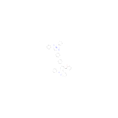 c1ccc(-c2cc(-c3ccc(-c4ccc(-c5cc6c(-c7ccccc7)nc7ccccc7c6c6c5oc5ccccc56)cc4)cc3)nc(-c3ccccc3)n2)cc1